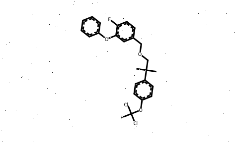 CC(C)(COCc1ccc(F)c(Oc2ccccc2)c1)c1ccc(OC(F)(Cl)Cl)cc1